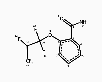 [NH]C(=O)c1ccccc1OC(F)(F)C(F)C(F)(F)F